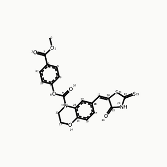 COC(=O)c1ccc(OC(=O)N2CCOc3ccc(C=C4SC(=S)NC4=O)cc32)cc1